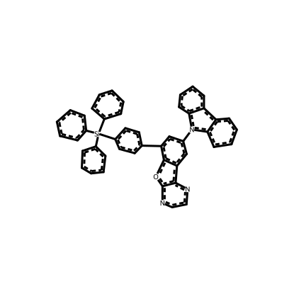 c1ccc([Si](c2ccccc2)(c2ccccc2)c2ccc(-c3cc(-n4c5ccccc5c5ccccc54)cc4c3oc3nccnc34)cc2)cc1